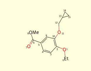 CCOc1ccc(C(=O)OC)cc1OCC1CC1